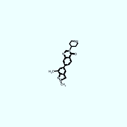 Cc1cc(-c2ccc3c(=O)n(C4CCNCC4)cnc3c2)cc2cn(C)nc12